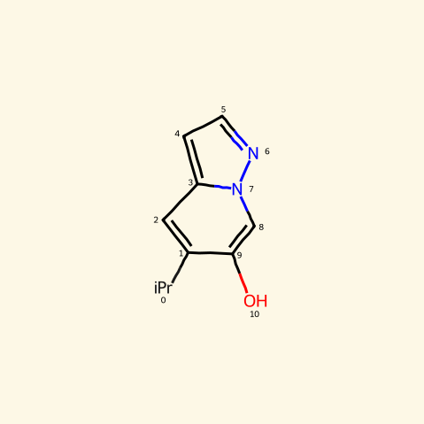 CC(C)c1cc2ccnn2cc1O